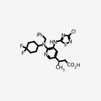 CC(C)CN(c1ncc([C@H](C)CC(=O)O)cc1Nc1nc(Cl)ns1)C1CCC(F)(F)CC1